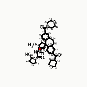 C[C@@H](CC1(c2nn[nH]n2)c2ccc(C(=O)C3CCOCC3)cc2CCc2cc(C(=O)N3CCOCC3)ccc21)NCC(=O)N1CCC[C@H]1C#N